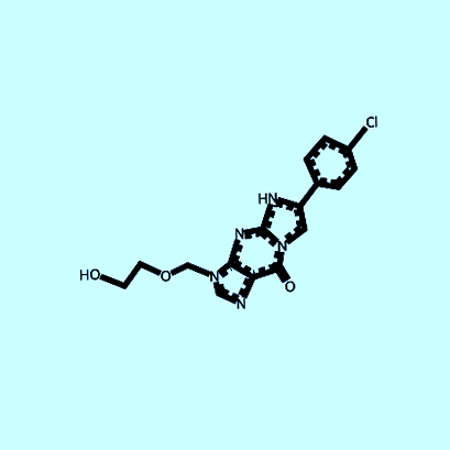 O=c1c2ncn(COCCO)c2nc2[nH]c(-c3ccc(Cl)cc3)cn12